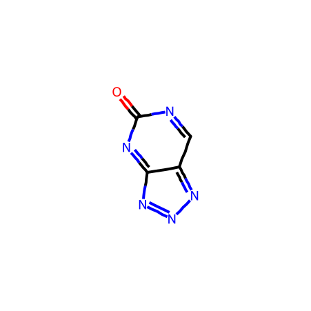 O=C1N=CC2=NN=NC2=N1